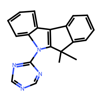 CC1(C)c2ccccc2-c2c1n(-c1ncncn1)c1ccccc21